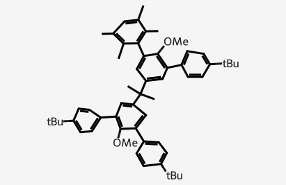 COc1c(-c2ccc(C(C)(C)C)cc2)cc(C(C)(C)c2cc(-c3ccc(C(C)(C)C)cc3)c(OC)c(-c3c(C)c(C)cc(C)c3C)c2)cc1-c1ccc(C(C)(C)C)cc1